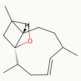 CC1/C=C/CC(C)[C@@]23CC(C)(CO2)[C@@H]3CC1